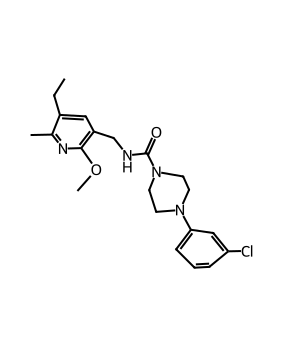 CCc1cc(CNC(=O)N2CCN(c3cccc(Cl)c3)CC2)c(OC)nc1C